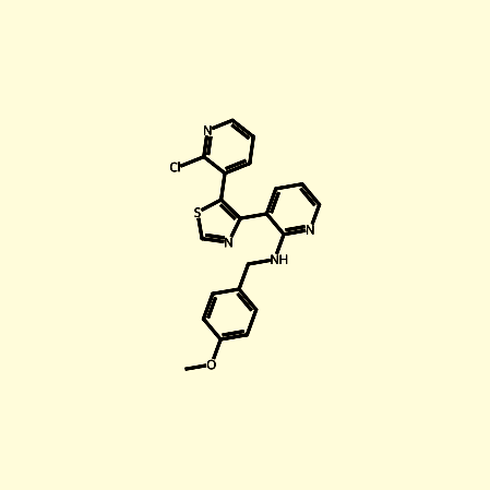 COc1ccc(CNc2ncccc2-c2ncsc2-c2cccnc2Cl)cc1